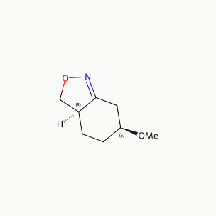 CO[C@H]1CC[C@H]2CON=C2C1